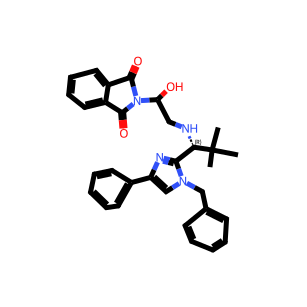 CC(C)(C)[C@@H](NCC(O)N1C(=O)c2ccccc2C1=O)c1nc(-c2ccccc2)cn1Cc1ccccc1